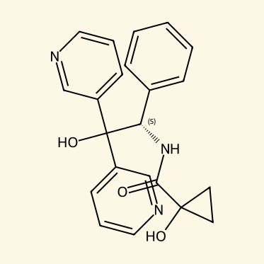 O=C(N[C@@H](c1ccccc1)C(O)(c1cccnc1)c1cccnc1)C1(O)CC1